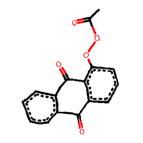 CC(=O)OOc1cccc2c1C(=O)c1ccccc1C2=O